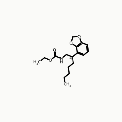 CCCCC[C@@H](CNC(=O)OCC)c1cccc2c1OCO2